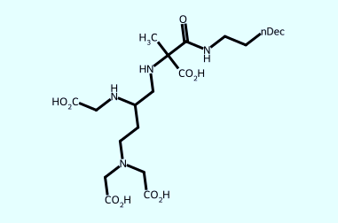 CCCCCCCCCCCCNC(=O)C(C)(NCC(CCN(CC(=O)O)CC(=O)O)NCC(=O)O)C(=O)O